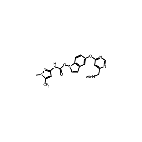 CNCc1cc(Oc2ccc3c(ccn3OC(=O)Nc3cc(C(F)(F)F)n(C)n3)c2)ncn1